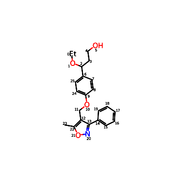 CCOC(CCO)c1ccc(OCc2c(-c3ccccc3)noc2C)cc1